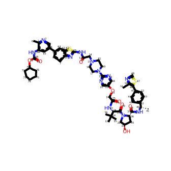 Cc1ncc(-c2ccc3nc(NC(=O)CN4CCN(c5ncc(OCC(=O)N[C@H](C(=O)N6C[C@H](O)C[C@H]6C(=O)N[C@@H](C)c6ccc(-c7scnc7C)cc6)C(C)(C)C)cn5)CC4)sc3c2)cc1NC(=O)OC1CCCCC1